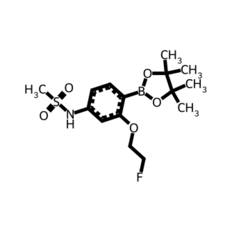 CC1(C)OB(c2ccc(NS(C)(=O)=O)cc2OCCF)OC1(C)C